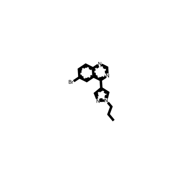 CCCn1cc(-c2ncnc3ccc(Br)cc23)cn1